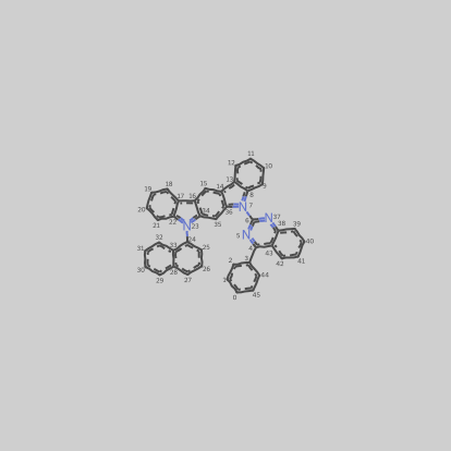 c1ccc(-c2nc(-n3c4ccccc4c4cc5c6ccccc6n(-c6cccc7ccccc67)c5cc43)nc3ccccc23)cc1